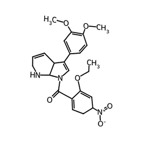 CCOC1=CC([N+](=O)[O-])CC=C1C(=O)N1C=C(c2ccc(OC)c(OC)c2)C2C=CCNC21